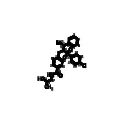 CC[C@@H](c1ccccc1)N(Cc1ccc(C(=O)NCC(C)O)cc1)S(=O)(=O)c1ccc(Cl)cc1